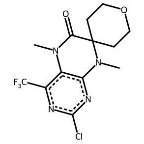 CN1C(=O)C2(CCOCC2)N(C)c2nc(Cl)nc(C(F)(F)F)c21